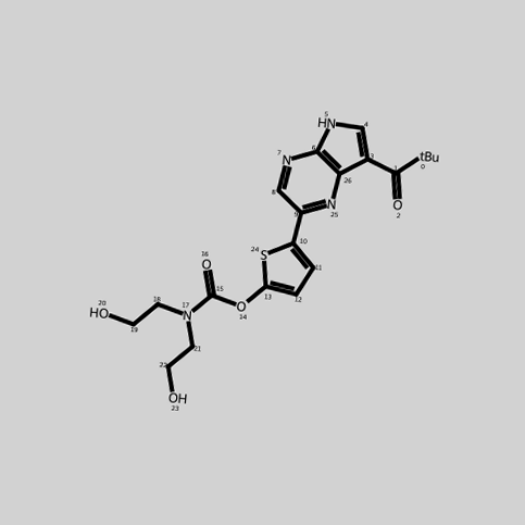 CC(C)(C)C(=O)c1c[nH]c2ncc(-c3ccc(OC(=O)N(CCO)CCO)s3)nc12